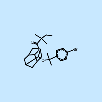 CCC(C)(C)C(=O)OC1C2CC3CC1CC(C2)C3OC(C)(C)c1ccc(Br)cc1